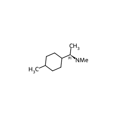 CN[C@H](C)C1CCC(C)CC1